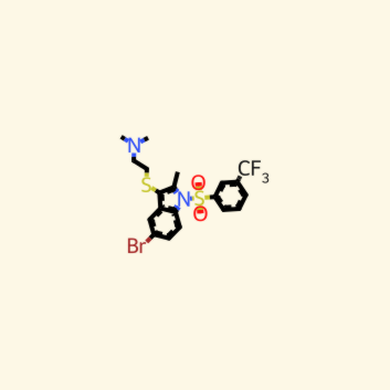 Cc1c(SCCN(C)C)c2cc(Br)ccc2n1S(=O)(=O)c1cccc(C(F)(F)F)c1